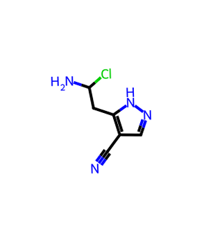 N#Cc1cn[nH]c1CC(N)Cl